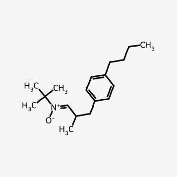 CCCCc1ccc(CC(C)C=[N+]([O-])C(C)(C)C)cc1